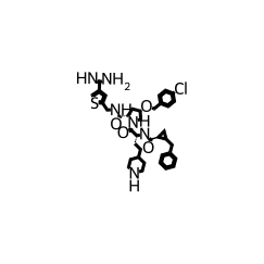 N=C(N)c1csc(CNC(=O)[C@@H]2C[C@@H](OCc3ccc(Cl)cc3)CN2C(=O)[C@@H](CCC2CCNCC2)NC(=O)[C@H]2CC2Cc2ccccc2)c1